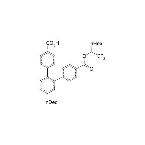 CCCCCCCCCCc1ccc(-c2ccc(C(=O)O)cc2)c(-c2ccc(C(=O)OC(CCCCCC)C(F)(F)F)cc2)c1